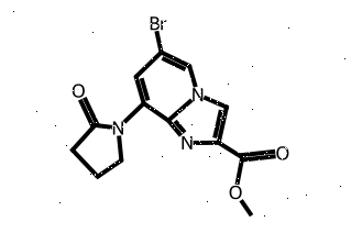 COC(=O)c1cn2cc(Br)cc(N3CCCC3=O)c2n1